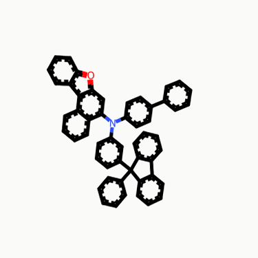 c1ccc(-c2ccc(N(c3cccc(C4(c5ccccc5)c5ccccc5-c5ccccc54)c3)c3cc4oc5ccccc5c4c4ccccc34)cc2)cc1